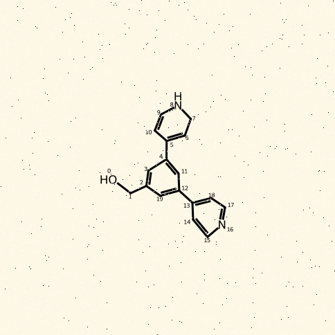 OCc1cc(C2=CCNC=C2)cc(-c2ccncc2)c1